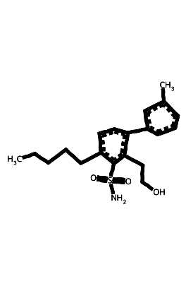 CCCCCc1ccc(-c2cccc(C)c2)c(CCO)c1S(N)(=O)=O